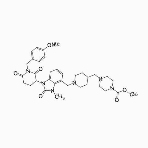 COc1ccc(CN2C(=O)CCC(n3c(=O)n(C)c4c(CN5CCC(CN6CCN(C(=O)OC(C)(C)C)CC6)CC5)cccc43)C2=O)cc1